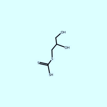 OCC(O)CSC(=S)S